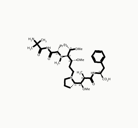 CC[C@H](OC)[C@@H]([C@@H](CCN1CCC[C@H]1[C@H](OC)[C@@H](C)C(=O)N[C@@H](Cc1ccccc1)C(=O)O)OC)N(C)[C@H](C(=O)NC(=O)C(C)(C)N)C(C)C